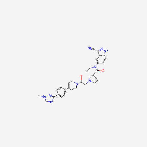 CCN(C(=O)C1CCN(CC(=O)N2CC=C(c3ccc(-c4ncn(C)n4)cc3)CC2)C1)c1ccc2[nH]nc(C#N)c2c1